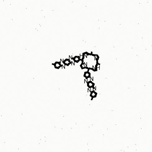 Cc1ccc2nc3cc4nc5cc(-c6c7nc(c(-c8ccc9nc%10cc%11nc%12cc(C)ccc%12nc%11cc%10nc9c8)c8ccc([nH]8)c(C)c8nc(c(C)c9ccc6[nH]9)C=C8)C=C7)ccc5nc4cc3nc2c1